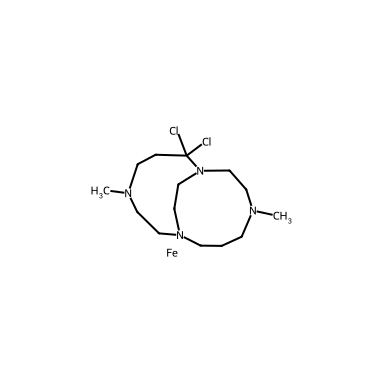 CN1CCCN2CCN(C)CCC(Cl)(Cl)N(CC1)CC2.[Fe]